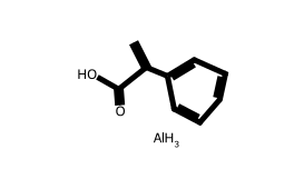 C=C(C(=O)O)c1ccccc1.[AlH3]